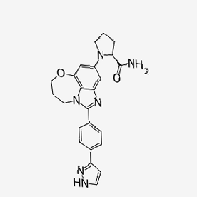 NC(=O)[C@@H]1CCCN1c1cc2c3c(c1)nc(-c1ccc(-c4cc[nH]n4)cc1)n3CCCO2